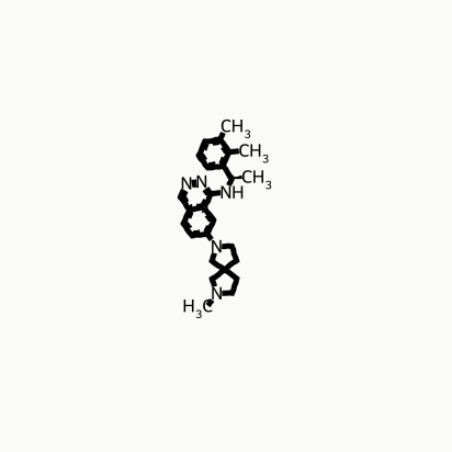 Cc1cccc([C@@H](C)Nc2nncc3ccc(N4CCC5(CCN(C)C5)C4)cc23)c1C